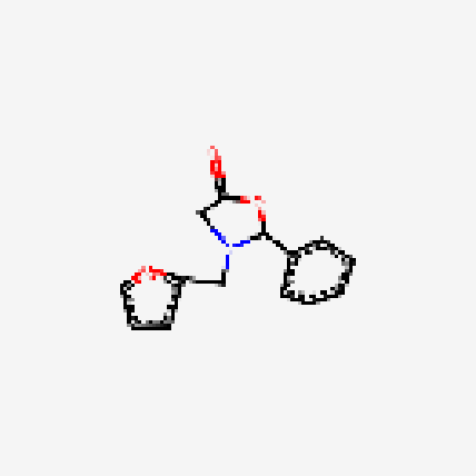 O=C1CN(Cc2ccco2)C(c2ccccc2)O1